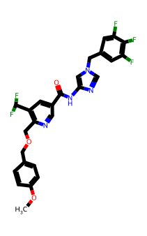 COc1ccc(COCc2ncc(C(=O)Nc3cn(Cc4cc(F)c(F)c(F)c4)cn3)cc2C(F)F)cc1